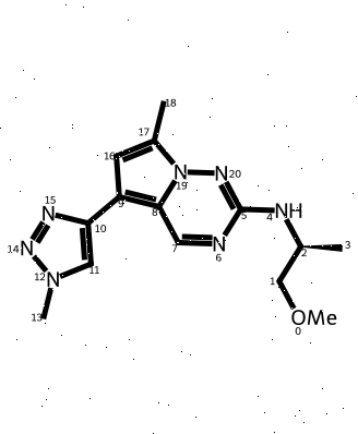 COC[C@H](C)Nc1ncc2c(-c3cn(C)nn3)cc(C)n2n1